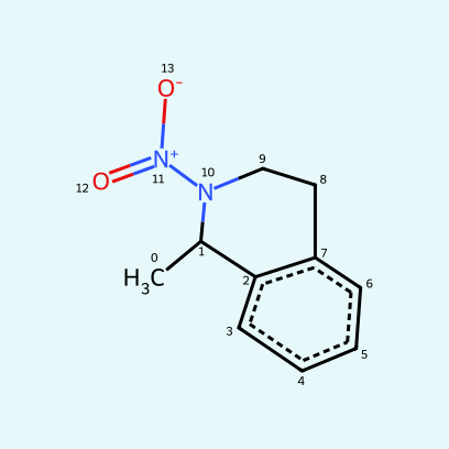 CC1c2ccccc2CCN1[N+](=O)[O-]